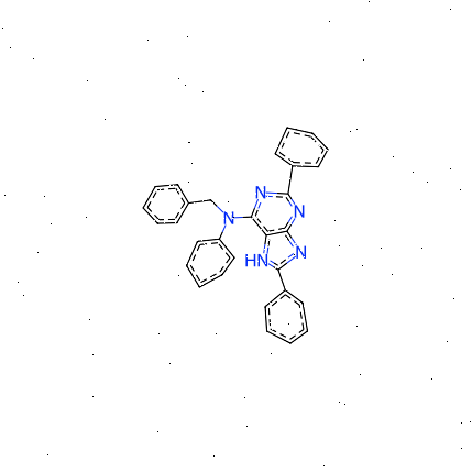 c1ccc(CN(c2ccccc2)c2nc(-c3ccccc3)nc3nc(-c4ccccc4)[nH]c23)cc1